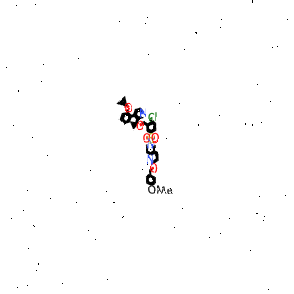 COc1ccc(COc2ccc3c(n2)CCN(S(=O)(=O)c2ccc(Cl)c(COC4(c5cnccc5-c5ccccc5OC5CC5)CC4)c2)C3)cc1